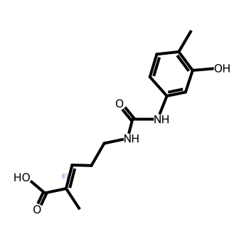 C/C(=C\CCNC(=O)Nc1ccc(C)c(O)c1)C(=O)O